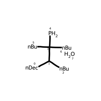 CCCCCCCCCCC(CCCC)C(P)(CCCC)CCCC.O